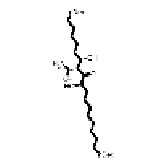 CCCCCCCCCCCCCCCCCCC(O)C(=O)[C@H](C(N)O)[C@H](O)CCCCCCCCCCCCCCC